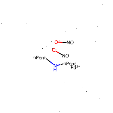 CCCCCNCCCCC.O=N[O-].O=N[O-].[Pd+2]